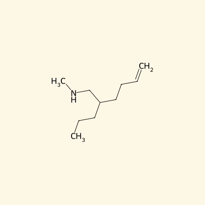 C=CCCC(CCC)CNC